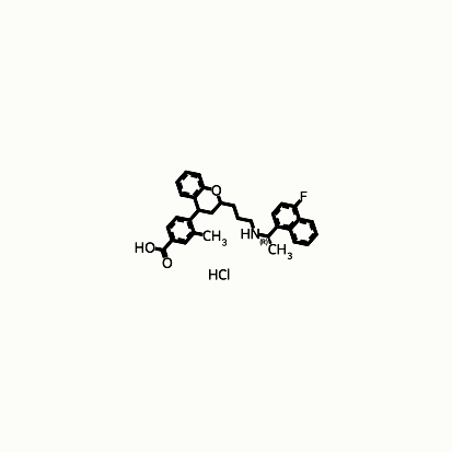 Cc1cc(C(=O)O)ccc1C1CC(CCCN[C@H](C)c2ccc(F)c3ccccc23)Oc2ccccc21.Cl